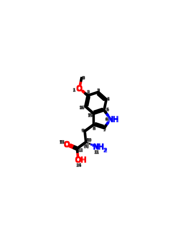 COc1ccc2[nH]cc(C[C@H](N)C(=O)O)c2c1